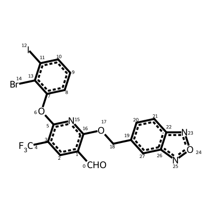 O=Cc1cc(C(F)(F)F)c(Oc2cccc(I)c2Br)nc1OCc1ccc2nonc2c1